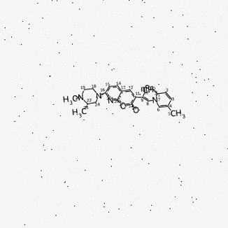 CCCC1C=CC(C)=CN1/C=C(\C)c1cc2ccc(N3CCN(C)[C@H](C)C3)nc2oc1=O